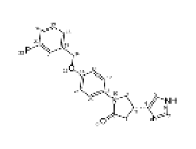 O=C1C[C@@H](c2c[nH]cn2)CN1c1ccc(OCc2cccc(F)c2)cc1